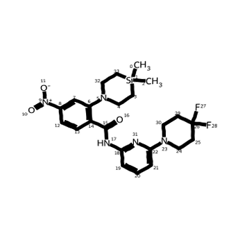 C[Si]1(C)CCN(c2cc([N+](=O)[O-])ccc2C(=O)Nc2cccc(N3CCC(F)(F)CC3)n2)CC1